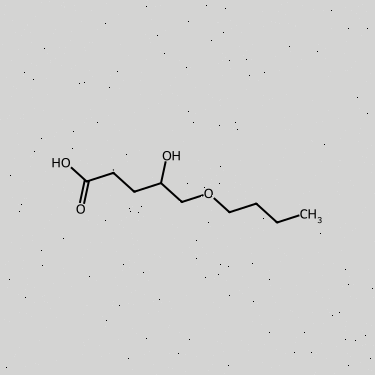 CCCCOCC(O)C[CH]C(=O)O